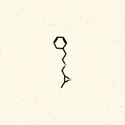 CC1OC1COCCC1C=CC=CC1